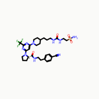 N#Cc1ccc(CCNC(=O)[C@@H]2CCCN2c2cc(N3CCC(CCCNC(=O)NCCS(N)(=O)=O)CC3)nc(C(F)(F)F)n2)cc1